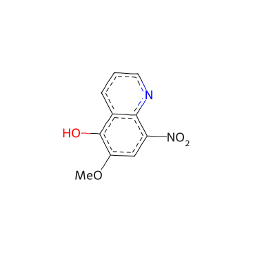 COc1cc([N+](=O)[O-])c2ncccc2c1O